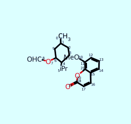 CC1CCC(C(C)C)C(OC=O)C1.COc1cccc2ccc(=O)oc12